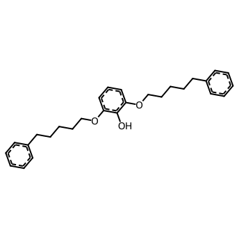 Oc1c(OCCCCCc2ccccc2)cccc1OCCCCCc1ccccc1